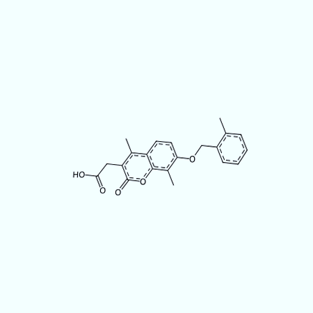 Cc1ccccc1COc1ccc2c(C)c(CC(=O)O)c(=O)oc2c1C